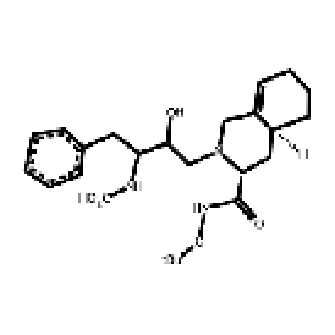 CC(C)(C)ONC(=O)[C@@H]1C[C@@H]2CCCC=C2CN1CC(O)C(Cc1ccccc1)NC(=O)O